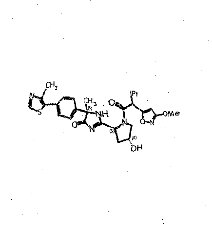 COc1cc(C(C(=O)N2C[C@H](O)C[C@H]2C2=NC(=O)[C@](C)(c3ccc(-c4scnc4C)cc3)N2)C(C)C)on1